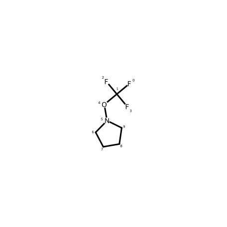 FC(F)(F)ON1CCCC1